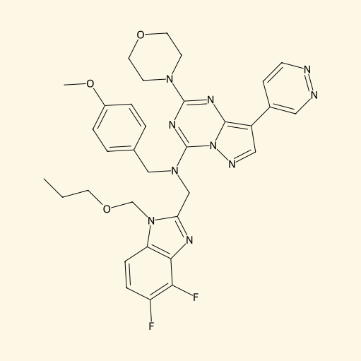 CCCOCn1c(CN(Cc2ccc(OC)cc2)c2nc(N3CCOCC3)nc3c(-c4ccnnc4)cnn23)nc2c(F)c(F)ccc21